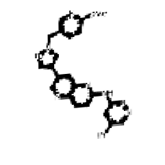 COc1ccc(Cn2cc(-c3cnc4ccc(Nc5cc(C(C)C)cnn5)nc4c3)cn2)cn1